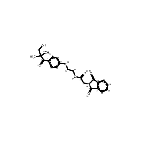 CC(C)(CS)C(=O)c1ccc(OCCOC(=O)CN2C(=O)c3ccccc3C2=O)cc1